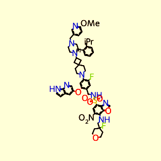 COc1ccc(CN2CCN(C3CC4(CCN(c5cc(Oc6cnc7[nH]ccc7c6)c(C(=O)NS(=O)(=O)c6cc([N+](=O)[O-])c(NCC7(F)CCOCC7)c7ocnc67)cc5F)CC4)C3)[C@H](c3ccccc3C(C)C)C2)cn1